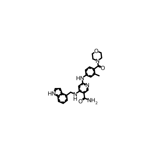 Cc1cc(Nc2cc(NCc3cccc4[nH]ccc34)c(C(N)=O)cn2)ccc1C(=O)N1CCOCC1